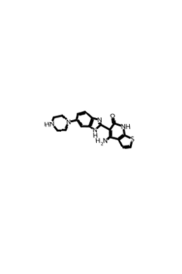 Nc1c(-c2nc3ccc(N4CCNCC4)cc3[nH]2)c(=O)[nH]c2sccc12